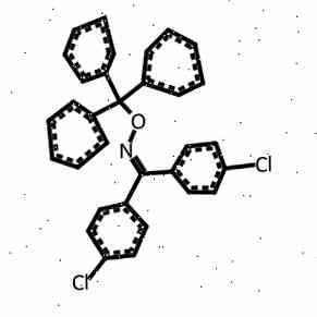 Clc1ccc(C(=NOC(c2ccccc2)(c2ccccc2)c2ccccc2)c2ccc(Cl)cc2)cc1